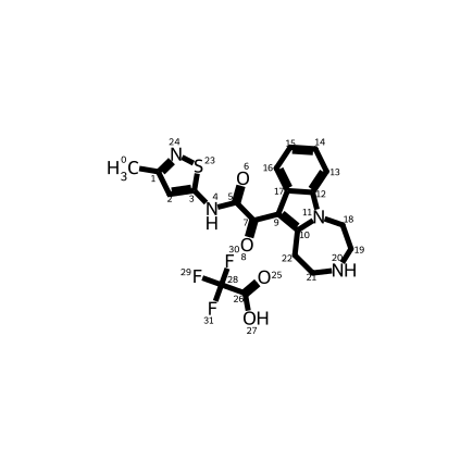 Cc1cc(NC(=O)C(=O)c2c3n(c4ccccc24)CCNCC3)sn1.O=C(O)C(F)(F)F